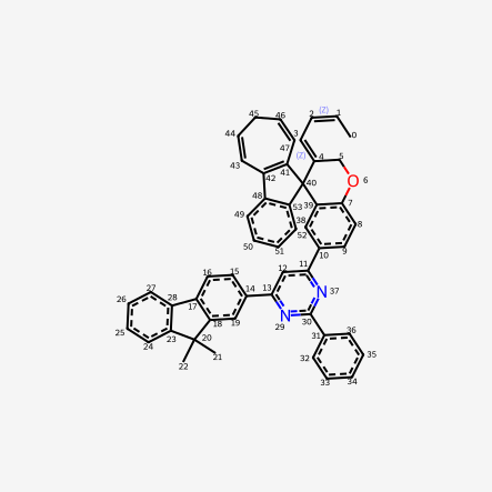 C/C=C\C=C1/COc2ccc(-c3cc(-c4ccc5c(c4)C(C)(C)c4ccccc4-5)nc(-c4ccccc4)n3)cc2C12C1=C(C=CCC=C1)c1ccccc12